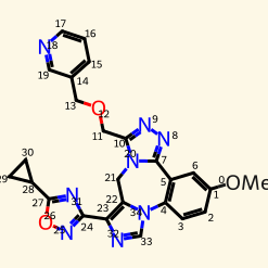 COc1ccc2c(c1)-c1nnc(COCc3cccnc3)n1Cc1c(-c3noc(C4CC4)n3)ncn1-2